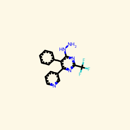 NNc1nc(C(F)(F)F)nc(-c2cccnc2)c1-c1ccccc1